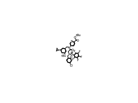 CC(C)(C)OC(=O)c1ccc(N(Cc2cc(C3CC3)cc(C(C)(C)C)c2)C(=O)CN(Cc2ccc(Cl)cc2)S(=O)(=O)c2c(F)c(F)c(F)c(F)c2F)cn1